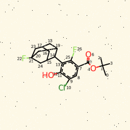 CC(C)(C)OC(=O)c1cc(Cl)c(O)c(C2C3CC4CC2CC(F)(C4)C3)c1F